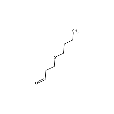 CCCCSCCC=O